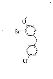 COc1ccc(Cc2ccc(Cl)cc2)cc1Br